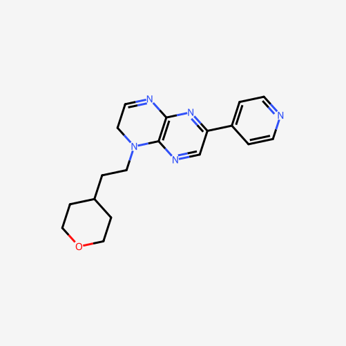 C1=Nc2nc(-c3ccncc3)cnc2N(CCC2CCOCC2)C1